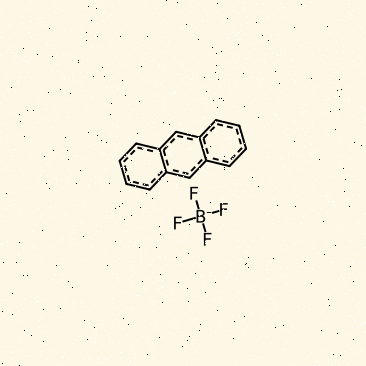 F[B-](F)(F)F.c1ccc2cc3ccccc3cc2c1